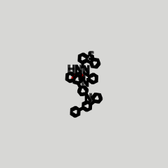 c1ccc(C2=NC(c3ccccc3-n3c4ccccc4c4ccc(-n5c6ccccc6c6ccc(-c7ccccc7)cc65)cc43)=NC(c3cccc4sc5ccccc5c34)N2)cc1